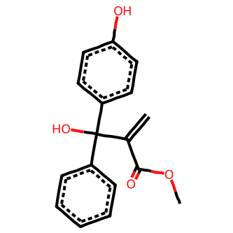 C=C(C(=O)OC)C(O)(c1ccccc1)c1ccc(O)cc1